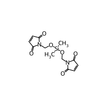 C[Si](C)(OCN1C(=O)C=CC1=O)OCN1C(=O)C=CC1=O